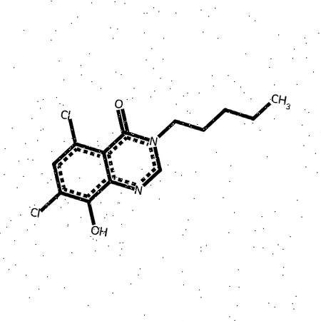 CCCCCn1cnc2c(O)c(Cl)cc(Cl)c2c1=O